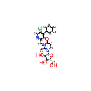 O=c1ccn([C@@H]2O[C@H](CO)C(O)C2O)c(=O)n1Cc1cc(-c2ccccc2)c(Cl)cn1